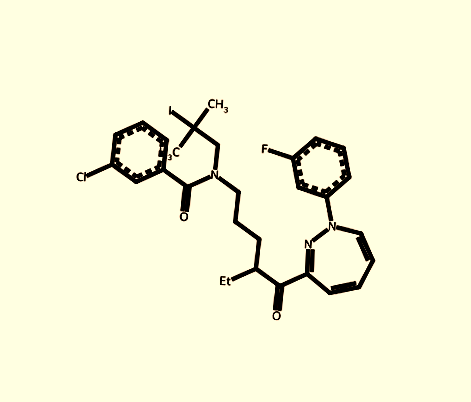 CCC(CCCN(CC(C)(C)I)C(=O)c1cccc(Cl)c1)C(=O)C1=NN(c2cccc(F)c2)C=CC=C1